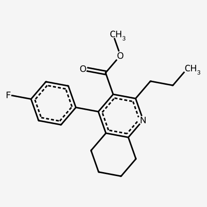 CCCc1nc2c(c(-c3ccc(F)cc3)c1C(=O)OC)CCCC2